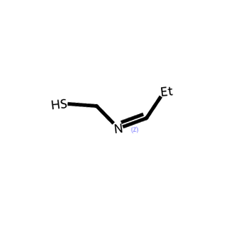 CC/C=N\CS